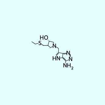 CCSCC1CN(Cc2c[nH]c3c(N)ncnc23)C[C@H]1O